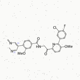 C=N/C=C(\C=N/C)c1ccc(C(=O)NCC(=O)c2ccc(OC)c(-c3ccc(F)c(Cl)c3)n2)cc1OC